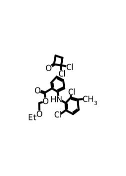 CCOCOC(=O)c1ccccc1Nc1c(Cl)ccc(C)c1Cl.O=C1CCC1(Cl)Cl